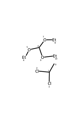 CC(Cl)Cl.CCOC(OCC)OCC